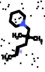 C/C=C/C[Si](C)(C)CN1CCCCC1